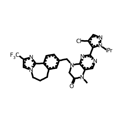 CC(C)n1ncc(Cl)c1-c1ncc2c(n1)N(Cc1ccc3c(c1)CCCn1cc(C(F)(F)F)nc1-3)CC(=O)N2C